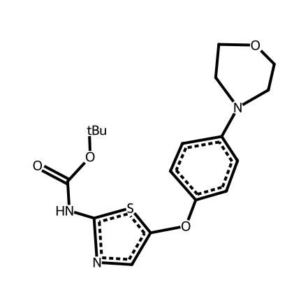 CC(C)(C)OC(=O)Nc1ncc(Oc2ccc(N3CCOCC3)cc2)s1